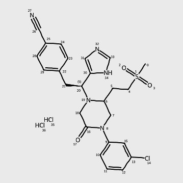 CS(=O)(=O)CCC1CN(c2cccc(Cl)c2)C(=O)CN1[C@@H](Cc1ccc(C#N)cc1)c1cnc[nH]1.Cl.Cl